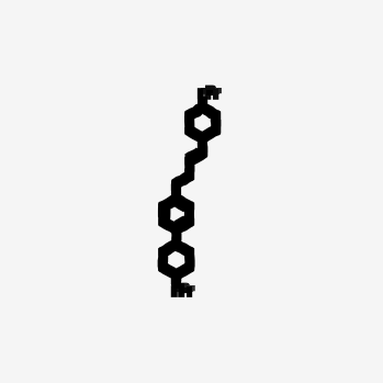 CCCC1CCC(C=CCCc2ccc(C3CCC(CCC)CC3)cc2)CC1